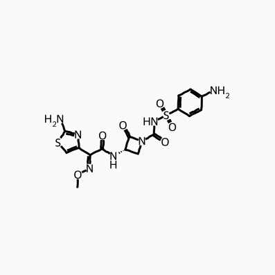 CON=C(C(=O)N[C@H]1CN(C(=O)NS(=O)(=O)c2ccc(N)cc2)C1=O)c1csc(N)n1